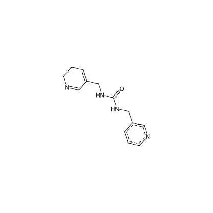 O=C(NCC1=CCCN=C1)NCc1cccnc1